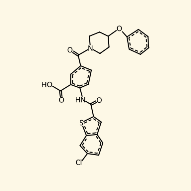 O=C(Nc1ccc(C(=O)N2CCC(Oc3ccccc3)CC2)cc1C(=O)O)c1cc2ccc(Cl)cc2s1